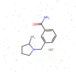 Cl.NC(=O)c1cccc(CN2CCCC2C(F)(F)F)c1